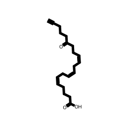 C#CCCCC(=O)CC/C=C\C/C=C\C/C=C\CCCC(=O)O